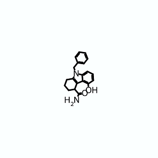 NC(=O)C1CCCc2c1c1c(O)cccc1n2Cc1ccccc1